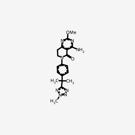 COc1nc(N)c2c(n1)CCN(c1ccc(C(C)(C)c3nnn(C)n3)cc1)C2=O